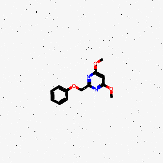 COc1cc(OC)nc(COc2c[c]ccc2)n1